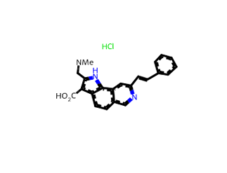 CNCc1[nH]c2c(ccc3cnc(C=Cc4ccccc4)cc32)c1C(=O)O.Cl